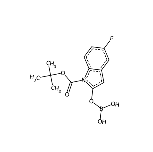 CC(C)(C)OC(=O)n1c(OB(O)O)cc2cc(F)ccc21